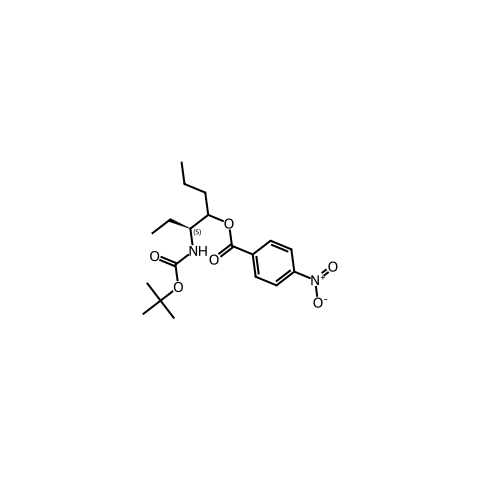 CCCC(OC(=O)c1ccc([N+](=O)[O-])cc1)[C@H](CC)NC(=O)OC(C)(C)C